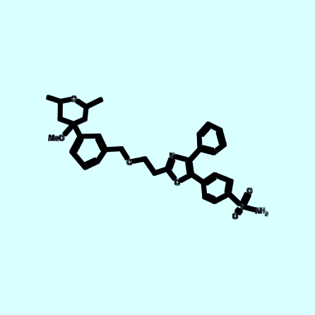 COC1(c2cccc(COCCc3nc(-c4ccccc4)c(-c4ccc(S(N)(=O)=O)cc4)o3)c2)CC(C)OC(C)C1